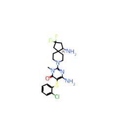 Cn1c(N2CCC3(CC2)CC(F)(F)C[C@H]3N)nc(N)c(Sc2ccccc2Cl)c1=O